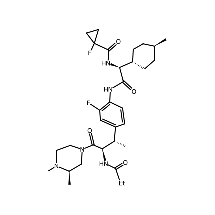 CCC(=O)N[C@@H](C(=O)N1CCN(C)[C@H](C)C1)[C@@H](C)c1ccc(NC(=O)[C@@H](NC(=O)C2(F)CC2)[C@H]2CC[C@H](C)CC2)c(F)c1